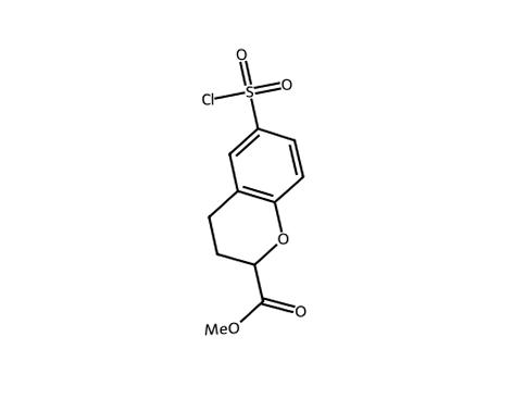 COC(=O)C1CCc2cc(S(=O)(=O)Cl)ccc2O1